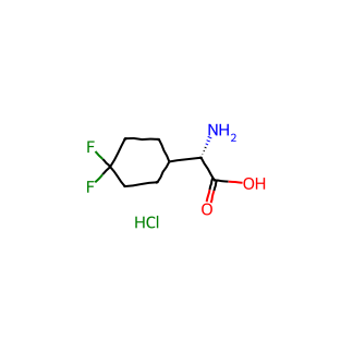 Cl.N[C@H](C(=O)O)C1CCC(F)(F)CC1